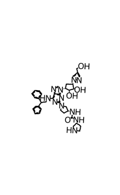 O=C(NC1CCNC1)N[C@@H]1CCN(c2nc(NCC(c3ccccc3)c3ccccc3)c3ncn([C@@H]4C[C@H](n5cc(CO)cn5)[C@@H](O)[C@H]4O)c3n2)C1